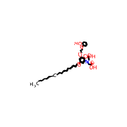 CCCCCCCCCCCCCCCCCCOc1cc(OCCCOc2ccccc2O)cc(N(CC(=O)O)CC(=O)O)c1